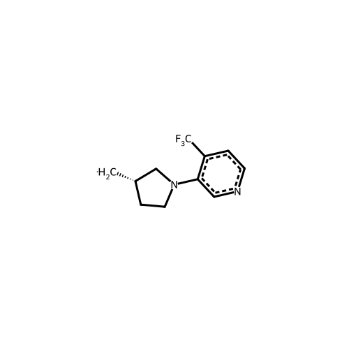 [CH2][C@H]1CCN(c2cnccc2C(F)(F)F)C1